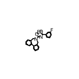 CCOC(=NC(=O)c1cccc(F)c1)N1Cc2ccccc2-c2ccccc2C1